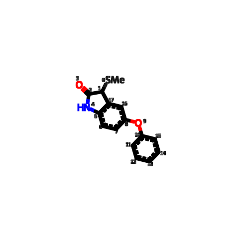 CSC1C(=O)Nc2ccc(Oc3ccccc3)cc21